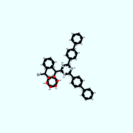 BrC12c3ccccc3C(c3nc(-c4ccc(-c5ccccc5)cc4)nc(-c4ccc(-c5ccccc5)cc4)n3)(c3ccccc31)c1ccccc12